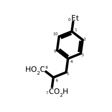 CCc1ccc(CC(C(=O)O)C(=O)O)cc1